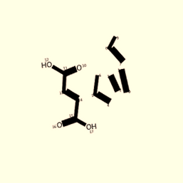 C=C.C=C.C=CC.C=CC.O=C(O)C=CC(=O)O